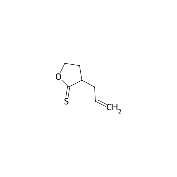 C=CCC1CCOC1=S